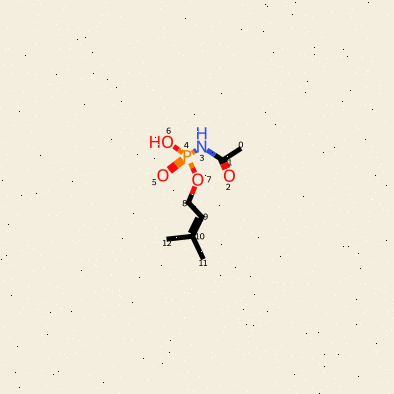 CC(=O)NP(=O)(O)OCC=C(C)C